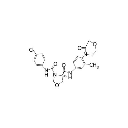 Cc1cc(NC(=O)[C@H]2COCN2C(=O)Nc2ccc(Cl)cc2)ccc1N1CCOCC1=O